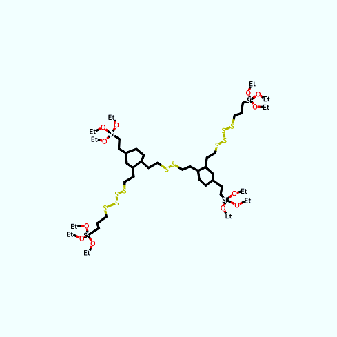 CCO[Si](CCCSSSSCCC1CC(CC[Si](OCC)(OCC)OCC)CCC1CCSSCCC1CCC(CC[Si](OCC)(OCC)OCC)CC1CCSSSSCCC[Si](OCC)(OCC)OCC)(OCC)OCC